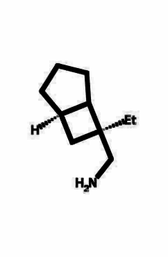 CC[C@]1(CN)C[C@H]2CCCC21